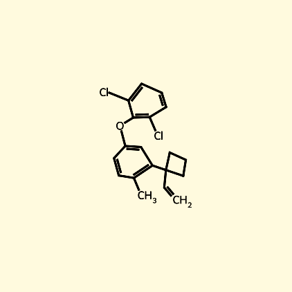 C=CC1(c2cc(Oc3c(Cl)cccc3Cl)ccc2C)CCC1